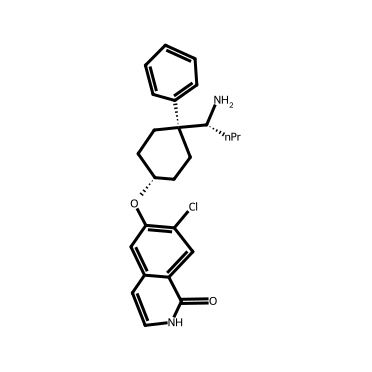 CCC[C@@H](N)[C@]1(c2ccccc2)CC[C@@H](Oc2cc3cc[nH]c(=O)c3cc2Cl)CC1